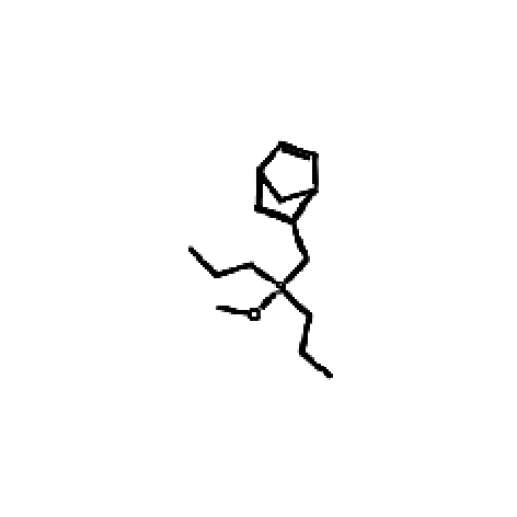 CCC[Si](CCC)(CC1CC2C=CC1C2)OC